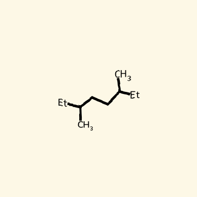 CC[C](C)CCC(C)CC